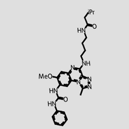 COc1cc2nc(NCCCCNC(=O)CC(C)C)c3nnc(C)n3c2cc1NC(=O)Nc1ccccc1